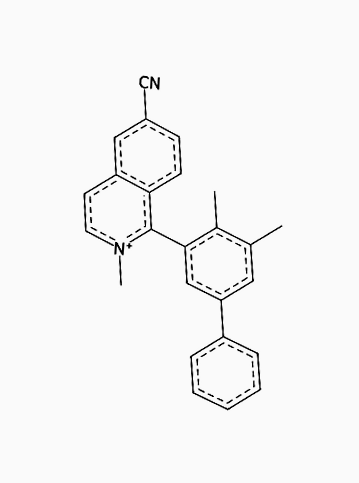 Cc1cc(-c2ccccc2)cc(-c2c3ccc(C#N)cc3cc[n+]2C)c1C